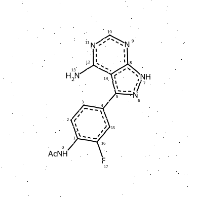 CC(=O)Nc1ccc(-c2n[nH]c3ncnc(N)c23)cc1F